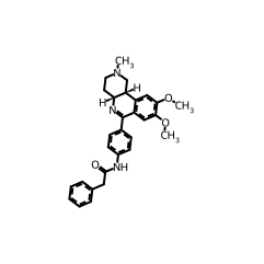 COc1cc2c(cc1OC)[C@H]1CN(C)CC[C@H]1N=C2c1ccc(NC(=O)Cc2ccccc2)cc1